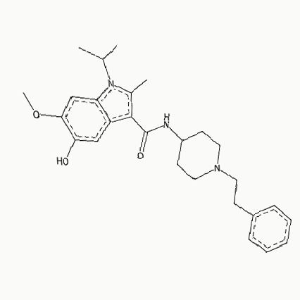 COc1cc2c(cc1O)c(C(=O)NC1CCN(CCc3ccccc3)CC1)c(C)n2C(C)C